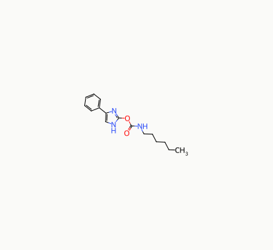 CCCCCCNC(=O)Oc1nc(-c2ccccc2)c[nH]1